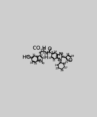 Cn1cc(C[C@H](NC(=O)c2ccc3c(c2)nc(-c2ccoc2)n3C2CCCCC2)C(=O)O)c2cc(O)ccc21